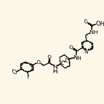 O=C(O)NCc1ccnc(C(=O)NC23CCC(NC(=O)COc4ccc(Cl)c(F)c4)(CC2)CC3)c1